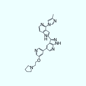 Cc1cn(-c2nccc3[nH]c(-c4n[nH]c5ncc(-c6cncc(OCCN7CCCC7)c6)cc45)cc23)cn1